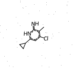 Cc1c(Cl)cc(C2CC2)[nH]c1=N